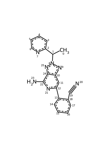 CC(c1ccccn1)n1nc2cc(-c3ccccc3C#N)nc(N)c2n1